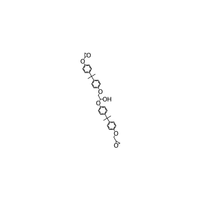 CC(C)(c1ccc(OCC2CO2)cc1)c1ccc(OC(O)COc2ccc(C(C)(C)c3ccc(OC4CO4)cc3)cc2)cc1